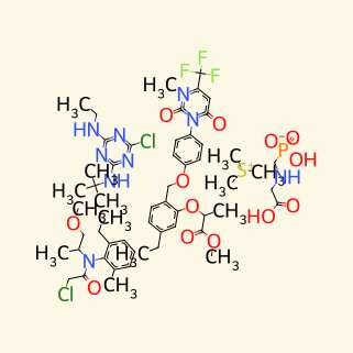 CCNc1nc(Cl)nc(NC(C)(C)C)n1.CCc1ccc(COc2ccc(-n3c(=O)cc(C(F)(F)F)n(C)c3=O)cc2)c(OC(C)C(=O)OC)c1.CCc1cccc(C)c1N(C(=O)CCl)C(C)COC.C[S+](C)C.O=C(O)CNCP(=O)([O-])O